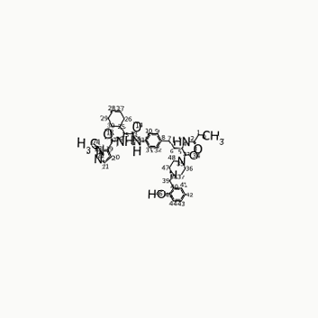 CCC(=O)N[C@H](CCc1ccc(NC(=O)[C@@H](NC(=O)c2ccnn2C)C2CCCCC2)cc1)C(=O)N1CCN(Cc2ccccc2O)CC1